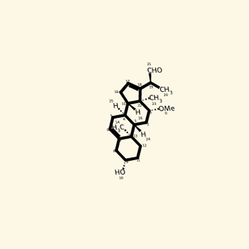 CO[C@@H]1C[C@H]2[C@@H](CC=C3C[C@@H](O)CC[C@@]32C)[C@@H]2CC=C([C@H](C)C=O)[C@@]12C